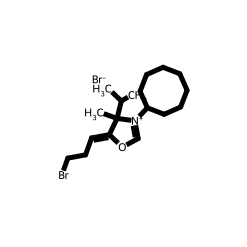 CC(C)C1(C)C(=CCCBr)OC=[N+]1C1CCCCCCC1.[Br-]